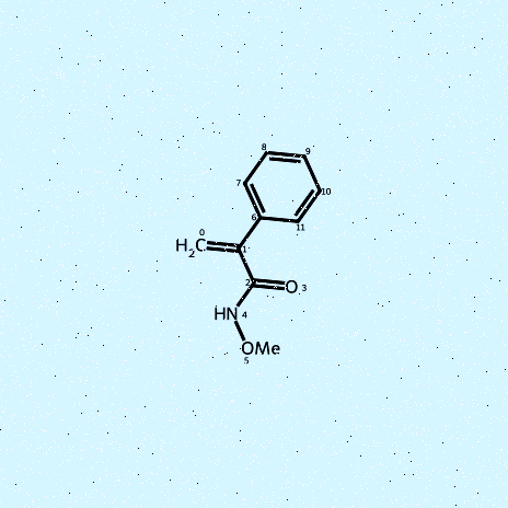 C=C(C(=O)NOC)c1ccccc1